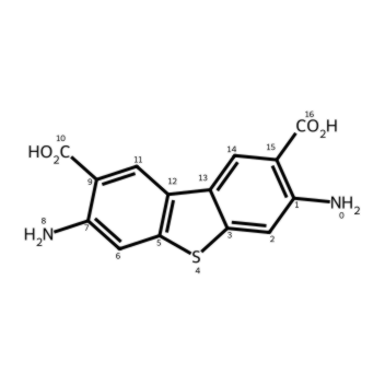 Nc1cc2sc3cc(N)c(C(=O)O)cc3c2cc1C(=O)O